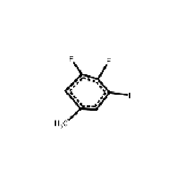 Cc1cc(F)c(F)c(I)c1